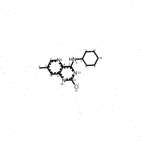 Cc1cnc2c(NC3CCCCC3)nc(Cl)nc2c1